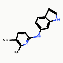 COc1ccc(Nc2ccc3cc[nH]c3c2)nc1C